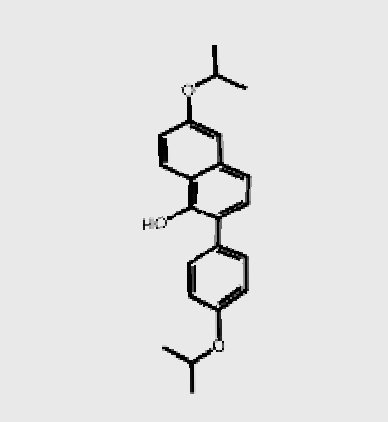 CC(C)Oc1ccc(-c2ccc3cc(OC(C)C)ccc3c2O)cc1